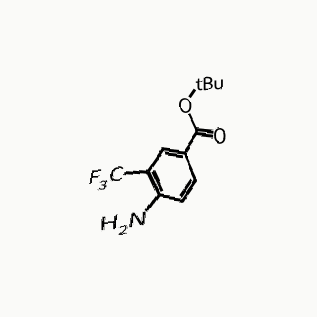 CC(C)(C)OC(=O)c1ccc(N)c(C(F)(F)F)c1